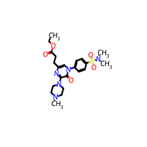 CCOC(=O)CCc1cn(-c2ccc(S(=O)(=O)N(C)C)cc2)c(=O)c(N2CCN(C)CC2)n1